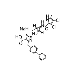 Cc1[nH]c(C(=O)N[C@H]2[C@@H]3CN(c4nc(Cc5ccc(-c6ccccc6)cc5)c(C(=O)O)s4)C[C@@H]32)c(Cl)c1Cl.[NaH]